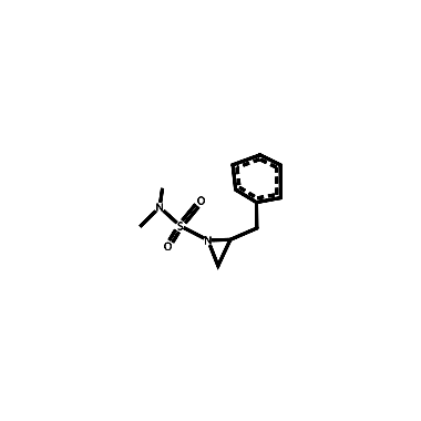 CN(C)S(=O)(=O)N1CC1Cc1ccccc1